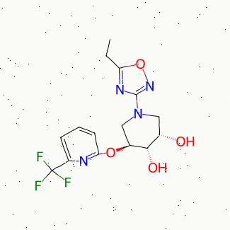 CCc1nc(N2C[C@H](Oc3cccc(C(F)(F)F)n3)[C@@H](O)[C@@H](O)C2)no1